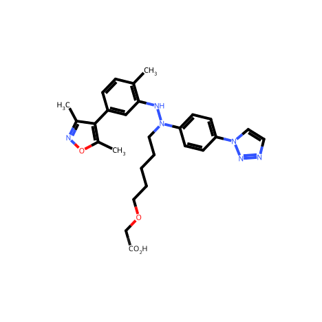 Cc1ccc(-c2c(C)noc2C)cc1NN(CCCCCOCC(=O)O)c1ccc(-n2ccnn2)cc1